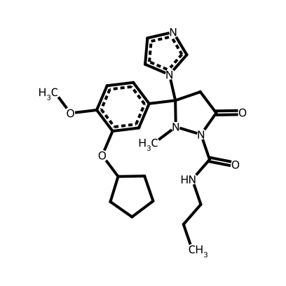 CCCNC(=O)N1C(=O)CC(c2ccc(OC)c(OC3CCCC3)c2)(n2ccnc2)N1C